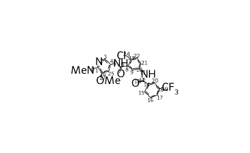 CNc1ncc(NC(=O)c2cc(NC(=O)c3cccc(C(F)(F)F)c3)ccc2Cl)cc1OC